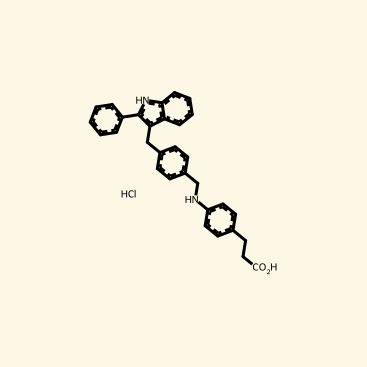 Cl.O=C(O)CCc1ccc(NCc2ccc(Cc3c(-c4ccccc4)[nH]c4ccccc34)cc2)cc1